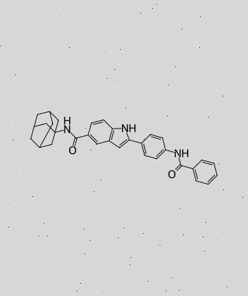 O=C(Nc1ccc(-c2cc3cc(C(=O)NC45CC6CC(CC(C6)C4)C5)ccc3[nH]2)cc1)c1ccccc1